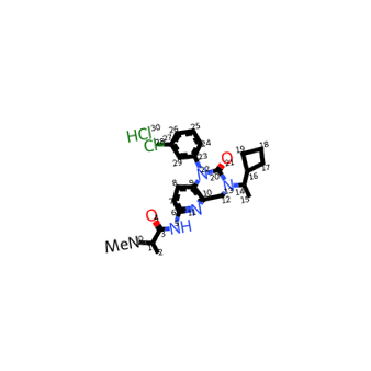 CNC(C)C(=O)Nc1ccc2c(n1)CN(C(C)C1CCC1)C(=O)N2c1cccc(Cl)c1.Cl